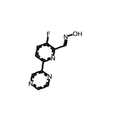 O/N=C/c1nc(-c2cnccn2)ccc1F